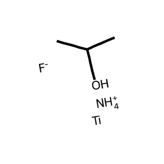 CC(C)O.[F-].[NH4+].[Ti]